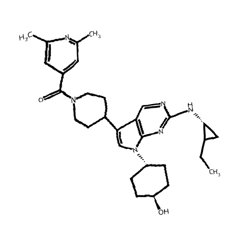 CCC1C[C@H]1Nc1ncc2c(C3CCN(C(=O)c4cc(C)nc(C)c4)CC3)cn([C@H]3CC[C@H](O)CC3)c2n1